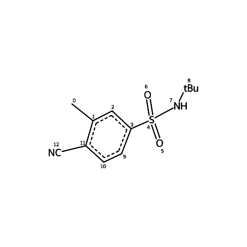 Cc1cc(S(=O)(=O)NC(C)(C)C)ccc1C#N